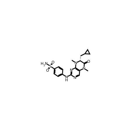 CN1C(=O)[C@@H](CC2CC2)N(C)c2nc(Nc3ccc(S(N)(=O)=O)cc3)ncc21